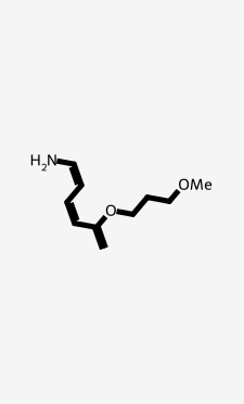 C=C(/C=C\C=C/N)OCCCOC